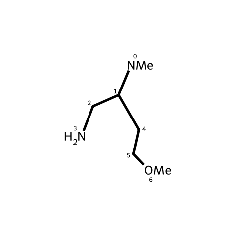 CNC(CN)CCOC